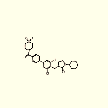 O=C(c1ccc(-c2cc(Cl)c(CC3CCN(C4CCCCC4)C3=O)c(Cl)c2)cc1)N1CCS(=O)(=O)CC1